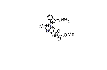 CCC(CCOC)NC(=O)C1=NC(=C(/NC)N2CC(CCN)c3ccccc32)/C(=N\C)S1